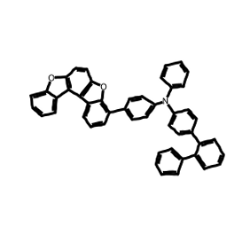 c1ccc(-c2ccccc2-c2ccc(N(c3ccccc3)c3ccc(-c4cccc5c4oc4ccc6oc7ccccc7c6c45)cc3)cc2)cc1